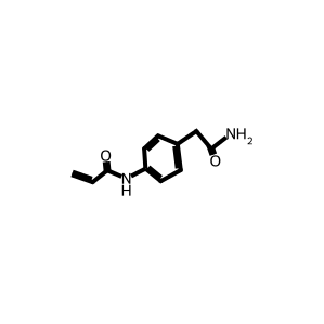 C=CC(=O)Nc1ccc(CC(N)=O)cc1